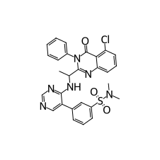 CC(Nc1ncncc1-c1cccc(S(=O)(=O)N(C)C)c1)c1nc2cccc(Cl)c2c(=O)n1-c1ccccc1